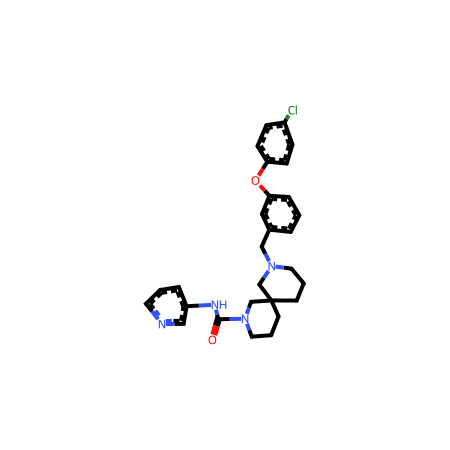 O=C(Nc1cccnc1)N1CCCC2(CCCN(Cc3cccc(Oc4ccc(Cl)cc4)c3)C2)C1